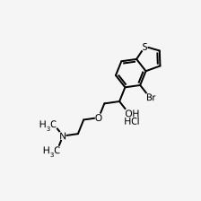 CN(C)CCOCC(O)c1ccc2sccc2c1Br.Cl